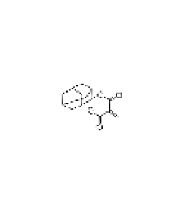 C=C1C(=O)OC2(OC1=O)C1CC3CC(C1)CC2C3